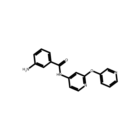 Nc1cccc(C(=O)Nc2ccnc(Oc3cccnc3)c2)c1